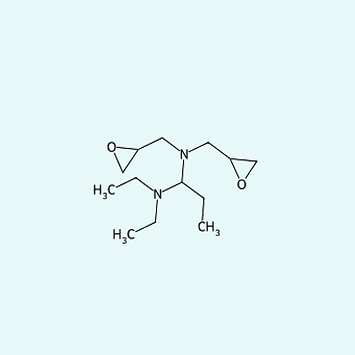 CCC(N(CC)CC)N(CC1CO1)CC1CO1